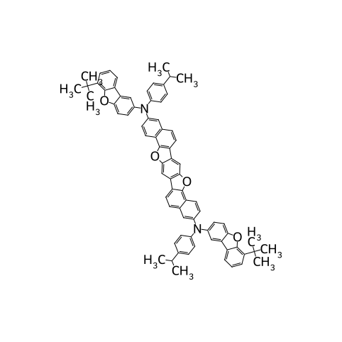 CC(C)c1ccc(N(c2ccc3c(ccc4c5cc6oc7c8ccc(N(c9ccc(C(C)C)cc9)c9ccc%10oc%11c(C(C)(C)C)cccc%11c%10c9)cc8ccc7c6cc5oc34)c2)c2ccc3oc4c(C(C)(C)C)cccc4c3c2)cc1